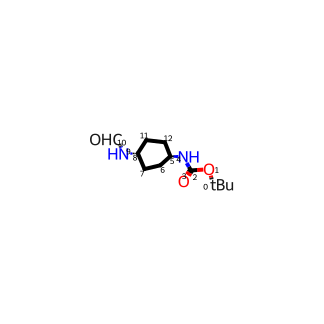 CC(C)(C)OC(=O)N[C@H]1CC[C@H](NC=O)CC1